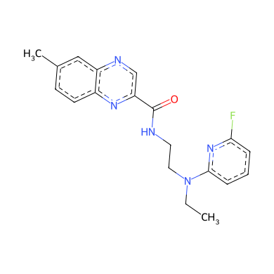 CCN(CCNC(=O)c1cnc2cc(C)ccc2n1)c1cccc(F)n1